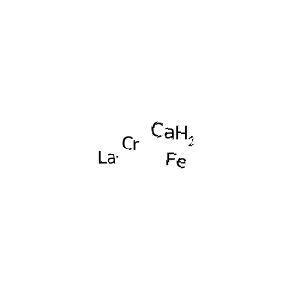 [CaH2].[Cr].[Fe].[La]